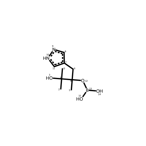 CC(C)(O)C(C)(Cc1cn[nH]c1)OB(O)O